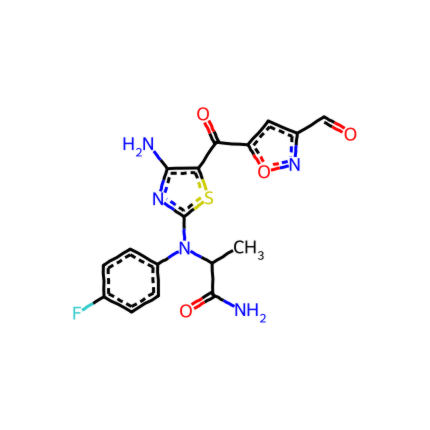 CC(C(N)=O)N(c1ccc(F)cc1)c1nc(N)c(C(=O)c2cc(C=O)no2)s1